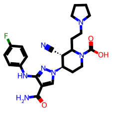 N#C[C@@H]1C(CCN2CCCC2)N(C(=O)O)CC[C@H]1n1cc(C(N)=O)c(Nc2ccc(F)cc2)n1